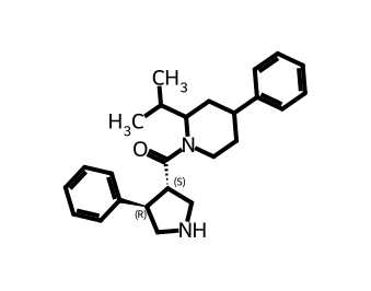 CC(C)C1CC(c2ccccc2)CCN1C(=O)[C@@H]1CNC[C@H]1c1ccccc1